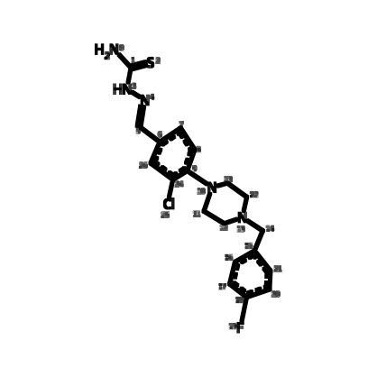 NC(=S)NN=Cc1ccc(N2CCN(Cc3ccc(F)cc3)CC2)c(Cl)c1